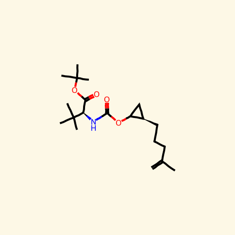 C=C(C)CCC[C@@H]1CC1OC(=O)N[C@H](C(=O)OC(C)(C)C)C(C)(C)C